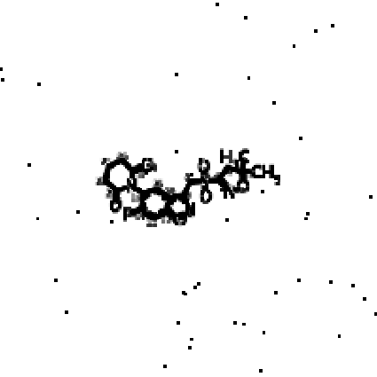 CC1(C)CC(S(=O)(=O)Cc2noc3cc(F)c(N4C(=O)CCCC4=O)cc23)=NO1